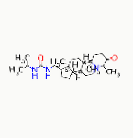 CC(C)NC(=O)NCC1CC[C@H]2[C@@H]3CCN4C(C)C(=O)CC[C@]4(C)[C@@H]3CC[C@]12C